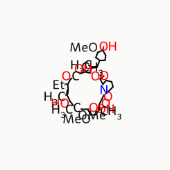 CCC1/C=C(\C)C(O)C(C)CC(OC)C2OC(O)(C(=O)C(=O)N3CCCCC3C(=O)OC(/C(C)=C/C3CCC(O)C(OC)C3)C(C)C(O)CC1=O)C(C)CC2OC